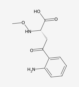 CON[C@@H](CC(=O)c1ccccc1N)C(=O)O